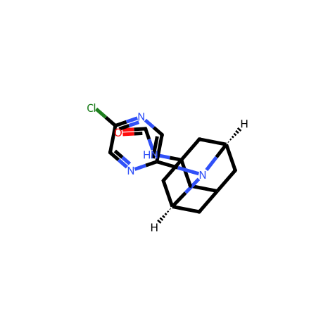 O=CNC12CC3C[C@H](C1)N(c1cnc(Cl)cn1)[C@@H](C3)C2